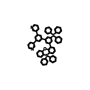 c1ccc(S(c2ccccc2)(c2ccccc2)c2cc(-c3cc(-c4cccnc4)cc(-c4cccnc4)c3)cc(-c3cccc4c3Oc3ccccc3S4(c3ccccc3)c3ccccc3)c2)cc1